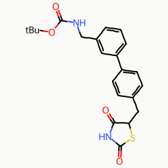 CC(C)(C)OC(=O)NCc1cccc(-c2ccc(CC3SC(=O)NC3=O)cc2)c1